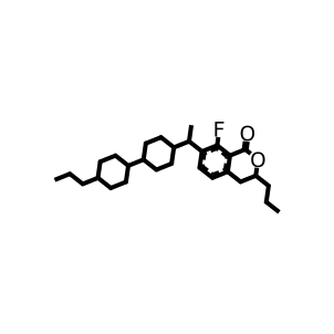 CCCC1CCC(C2CCC(C(C)c3ccc4c(c3F)C(=O)OC(CCC)C4)CC2)CC1